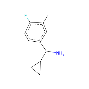 Cc1cc(C(N)C2CC2)ccc1F